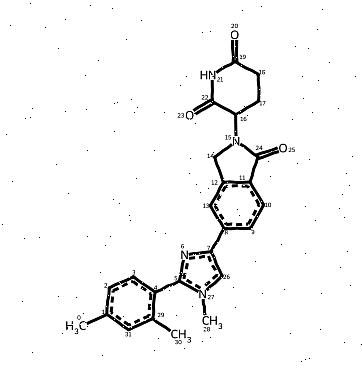 Cc1ccc(-c2nc(-c3ccc4c(c3)CN(C3CCC(=O)NC3=O)C4=O)cn2C)c(C)c1